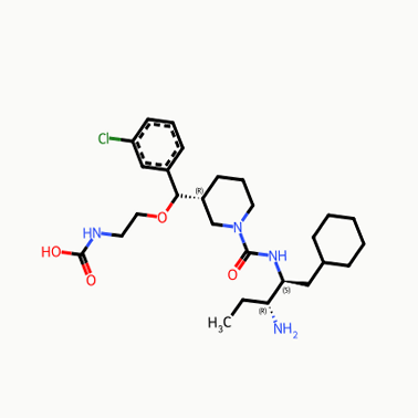 CC[C@@H](N)[C@H](CC1CCCCC1)NC(=O)N1CCC[C@@H](C(OCCNC(=O)O)c2cccc(Cl)c2)C1